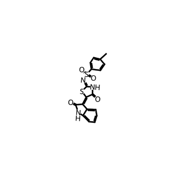 Cc1ccc(S(=O)(=O)N=C2NC(=O)C(=C3C(=O)Nc4ccccc43)S2)cc1